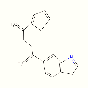 C=C(CCC(=C)c1ccc2c(c1)N=CC2)C1=CC=CC1